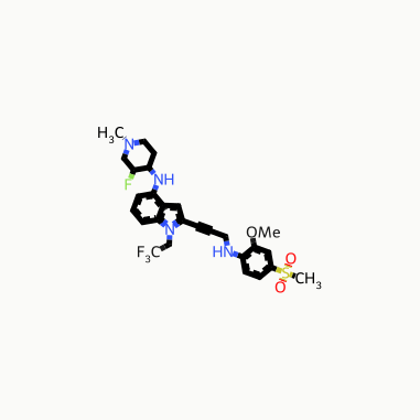 COc1cc(S(C)(=O)=O)ccc1NCC#Cc1cc2c(NC3CCN(C)CC3F)cccc2n1CC(F)(F)F